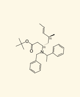 CC=C[C@@H](C)C[C@@H](CC(=O)OC(C)(C)C)N(Cc1ccccc1)C(C)c1ccccc1